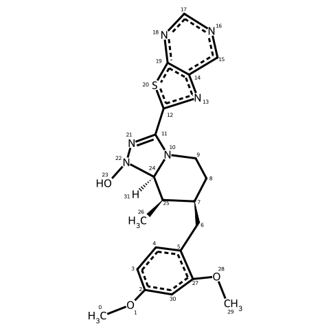 COc1ccc(C[C@@H]2CCN3C(c4nc5cncnc5s4)=NN(O)[C@@H]3[C@@H]2C)c(OC)c1